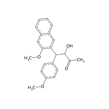 COc1ccc(C(c2cc3ccccc3cc2OC)C(O)C(C)=O)cc1